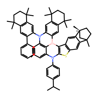 Cc1cc2c3c(c1)N(c1ccc(C(C)C)cc1)c1sc4cc5c(cc4c1B3c1cc3c(cc1N2c1cc2c(cc1-c1ccccc1)C(C)(C)CCC2(C)C)C(C)(C)CCC3(C)C)[C@]1(C)CCC5(C)C1